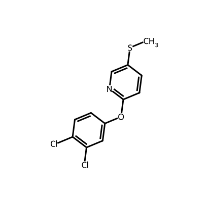 CSc1ccc(Oc2ccc(Cl)c(Cl)c2)nc1